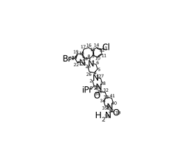 CC(C)C1CN(C2CCN(C3c4ccc(Cl)cc4CCc4cc(Br)cnc43)CC2)CCN1C(=O)CC1CCN(C(N)=O)CC1